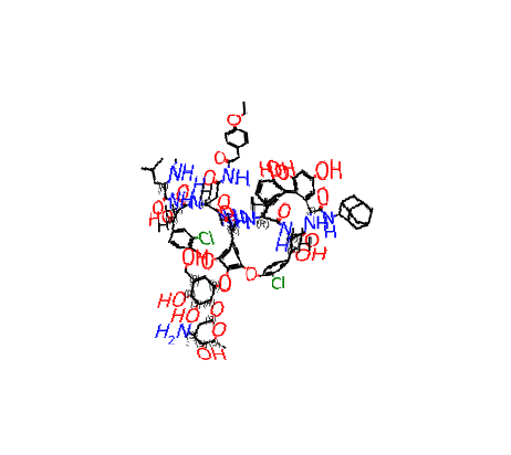 CCOc1ccc(CC(=O)NC(=O)C[C@@H]2NC(=O)[C@H](NC(=O)[C@@H](CC(C)C)NC)[C@H](O)c3ccc(c(Cl)c3)Oc3cc4cc(c3O[C@@H]3C[C@H](CO)[C@@H](O)[C@H](O)[C@H]3O[C@H]3C[C@](C)(N)[C@H](O)[C@H](C)O3)Oc3ccc(cc3Cl)[C@@H](O)[C@@H]3NC(=O)[C@H](NC(=O)[C@@H]4NC2=O)c2ccc(O)c(c2)-c2c(O)cc(O)cc2[C@@H](C(=O)NC2C4CC5CC(C4)CC2C5)NC3=O)cc1